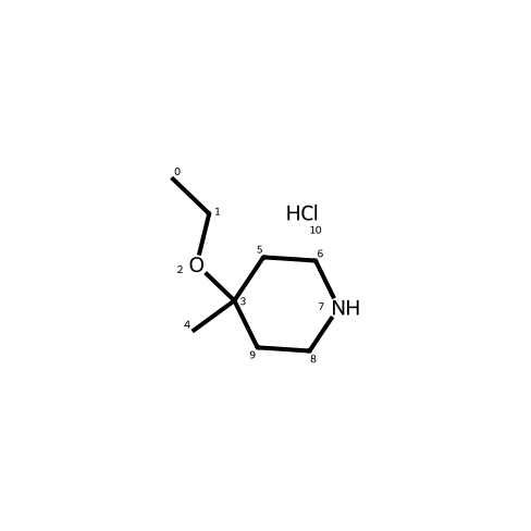 CCOC1(C)CCNCC1.Cl